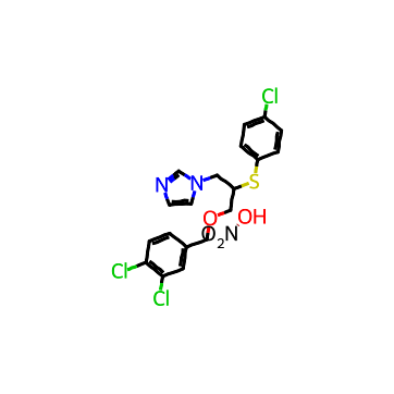 Clc1ccc(SC(COCc2ccc(Cl)c(Cl)c2)Cn2ccnc2)cc1.O=[N+]([O-])O